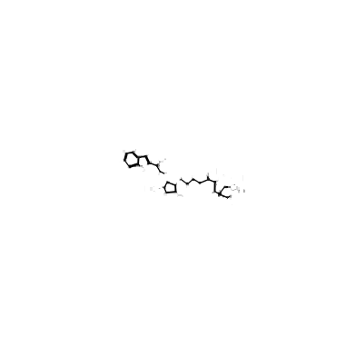 CC(CO)(CO)CC(C(=O)O)C(O)CCCC[C@@H]1[C@@H](CCC(O)c2cc3ccccc3s2)[C@H](O)C[C@@H]1O